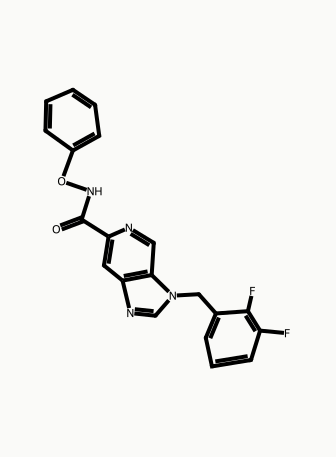 O=C(NOc1ccccc1)c1cc2ncn(Cc3cccc(F)c3F)c2cn1